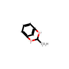 O=C(O)C1Oc2cccc(c2)O1